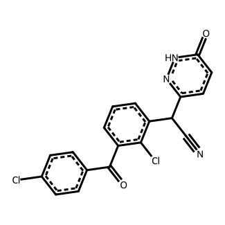 N#CC(c1ccc(=O)[nH]n1)c1cccc(C(=O)c2ccc(Cl)cc2)c1Cl